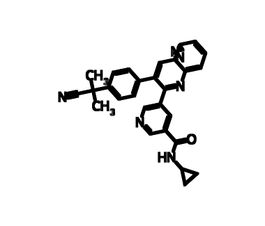 CC(C)(C#N)c1ccc(C2=CC34N=NCC3C=CC=C4N=C2c2cncc(C(=O)NC3CC3)c2)cc1